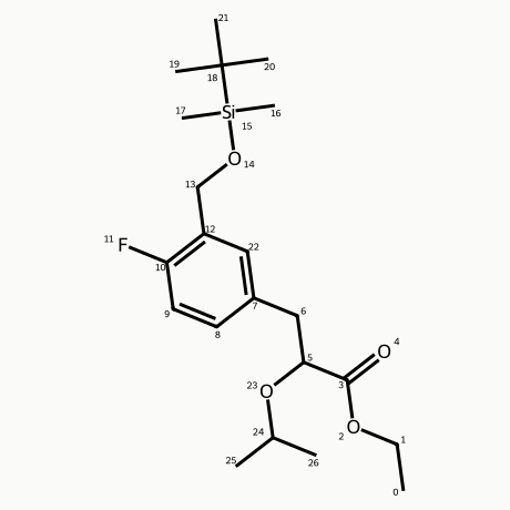 CCOC(=O)C(Cc1ccc(F)c(CO[Si](C)(C)C(C)(C)C)c1)OC(C)C